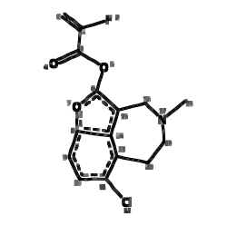 C=C(F)C(=O)Oc1oc2ccc(Cl)c3c2c1CN(C)CC3